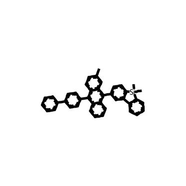 Cc1ccc2c(-c3ccc(-c4ccccc4)cc3)c3ccccc3c(-c3ccc4c(c3)-c3ccccc3[Si]4(C)C)c2c1